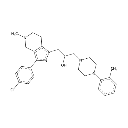 Cc1ccccc1N1CCN(CC(O)Cn2nc(-c3ccc(Cl)cc3)c3c2CCN(C)C3)CC1